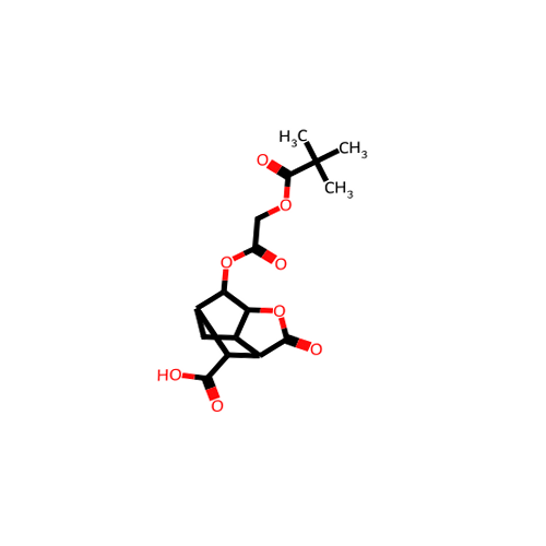 CC(C)(C)C(=O)OCC(=O)OC1C2CC3C1OC(=O)C3C2C(=O)O